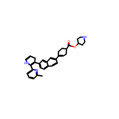 Cc1cccc(C2=C(c3ccc4ccc(C5=CCC(C(=O)OC6CCNCC6)CC5)cc4c3)CC=CN2)n1